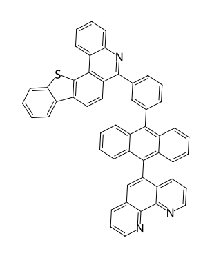 c1cc(-c2c3ccccc3c(-c3cc4cccnc4c4ncccc34)c3ccccc23)cc(-c2nc3ccccc3c3c2ccc2c4ccccc4sc23)c1